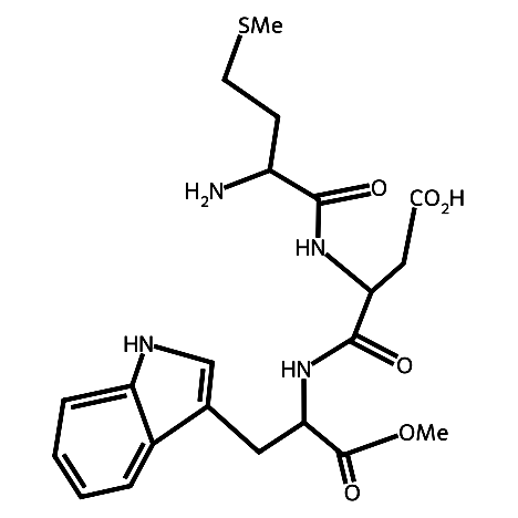 COC(=O)C(Cc1c[nH]c2ccccc12)NC(=O)C(CC(=O)O)NC(=O)C(N)CCSC